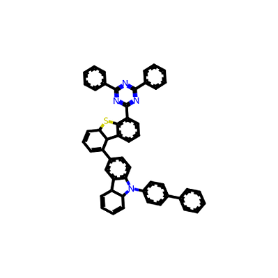 C1=CC2Sc3c(-c4nc(-c5ccccc5)nc(-c5ccccc5)n4)cccc3C2C(c2ccc3c(c2)C2C=CC=CC2N3c2ccc(-c3ccccc3)cc2)=C1